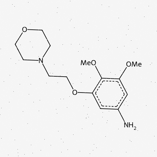 COc1cc(N)cc(OCCN2CCOCC2)c1OC